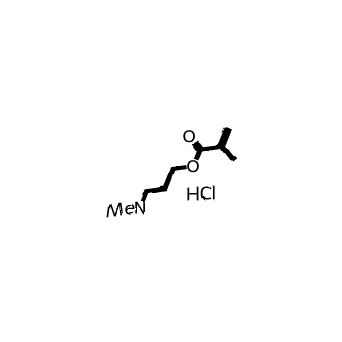 C=C(C)C(=O)OCCCNC.Cl